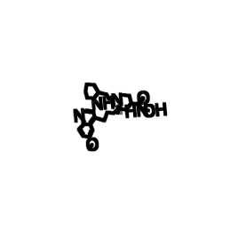 COc1ccc2ncc(N)c(CCCC3CC(C(=O)NO)CCN3CCC3CCCCC3)c2c1